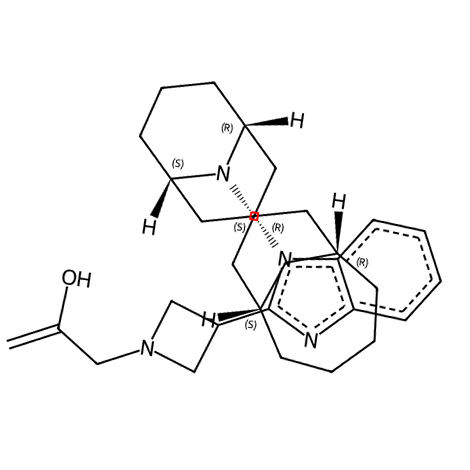 C=C(O)CN1CC(c2nc3ccccc3n2[C@H]2C[C@H]3CCC[C@@H](C2)N3[C@@H]2C[C@@H]3CCCC[C@@H](C3)C2)C1